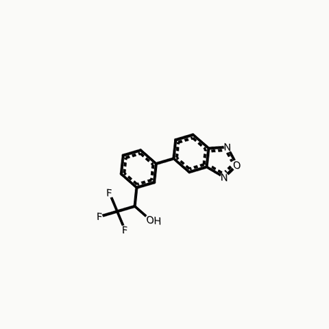 OC(c1cccc(-c2ccc3nonc3c2)c1)C(F)(F)F